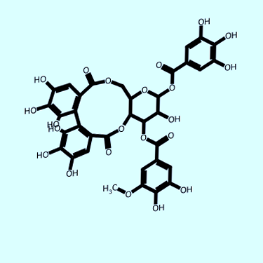 COc1cc(C(=O)OC2C(O)C(OC(=O)c3cc(O)c(O)c(O)c3)OC3COC(=O)c4cc(O)c(O)c(O)c4-c4c(cc(O)c(O)c4O)C(=O)OC32)cc(O)c1O